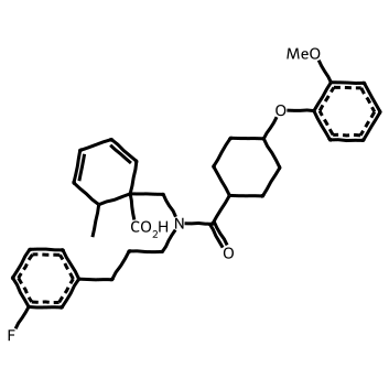 COc1ccccc1OC1CCC(C(=O)N(CCCc2cccc(F)c2)CC2(C(=O)O)C=CC=CC2C)CC1